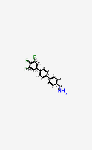 NCc1ccc(-c2ccc(-c3cc(F)c(F)c(F)c3)cc2)cc1